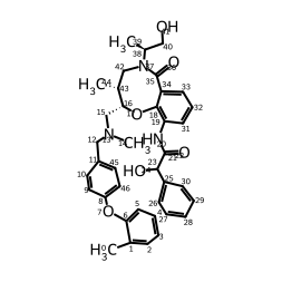 Cc1ccccc1Oc1ccc(CN(C)C[C@H]2Oc3c(NC(=O)C(O)c4ccccc4)cccc3C(=O)N([C@@H](C)CO)C[C@H]2C)cc1